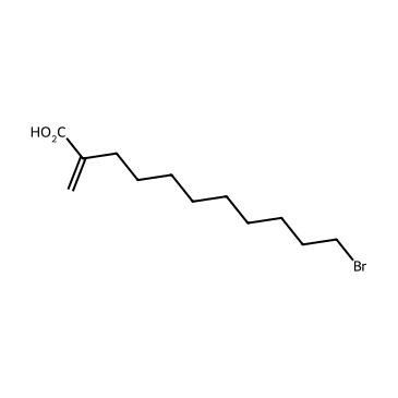 C=C(CCCCCCCCCBr)C(=O)O